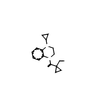 O=C(N1CCN(C2CC2)c2ccccc21)C1(CO)CC1